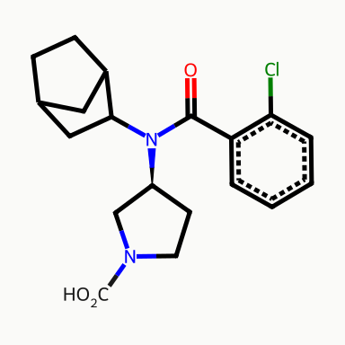 O=C(O)N1CC[C@H](N(C(=O)c2ccccc2Cl)C2CC3CCC2C3)C1